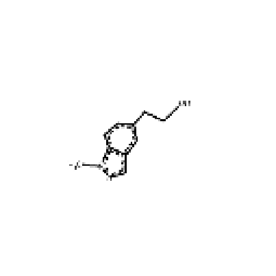 Cn1ncc2cc(CCO)ccc21